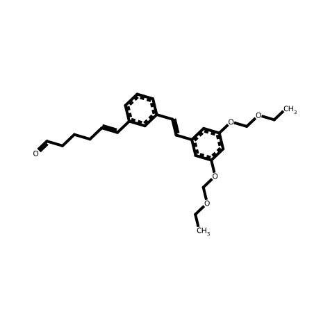 CCOCOc1cc(C=Cc2cccc(C=CCCCC=O)c2)cc(OCOCC)c1